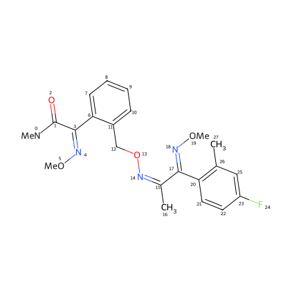 CNC(=O)C(=NOC)c1ccccc1CON=C(C)C(=NOC)c1ccc(F)cc1C